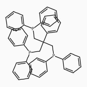 c1ccc(P(CC(CP(c2ccccc2)c2ccccc2)(CP(c2ccccc2)c2ccccc2)c2ccccc2)c2ccccc2)cc1